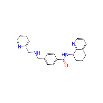 O=C(NC1CCCc2cccnc21)c1ccc(CNCc2ccccn2)cc1